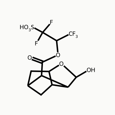 O=C(OC(C(F)(F)F)C(F)(F)S(=O)(=O)O)C1C2CC3OC(O)C1C3C2